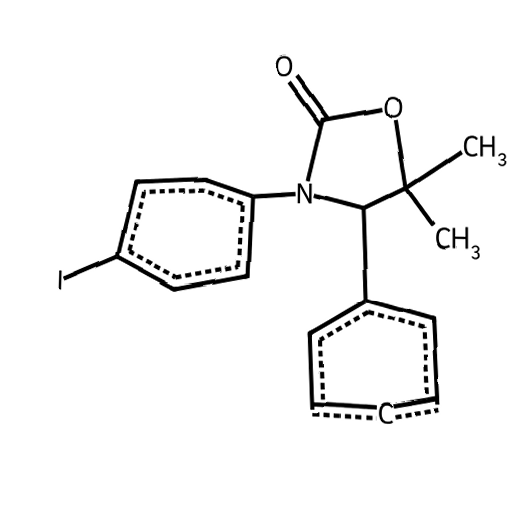 CC1(C)OC(=O)N(c2ccc(I)cc2)C1c1ccccc1